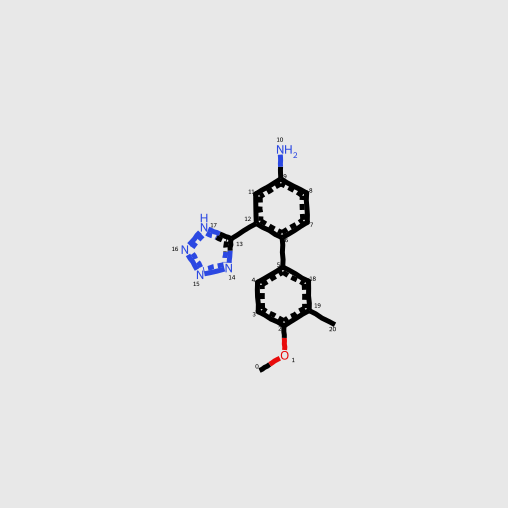 COc1ccc(-c2ccc(N)cc2-c2nnn[nH]2)cc1C